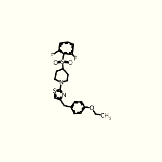 CCOc1ccc(Cc2csc(N3CCC(S(=O)(=O)c4c(F)cccc4F)CC3)n2)cc1